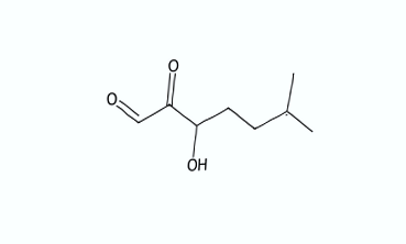 C[C](C)CCC(O)C(=O)C=O